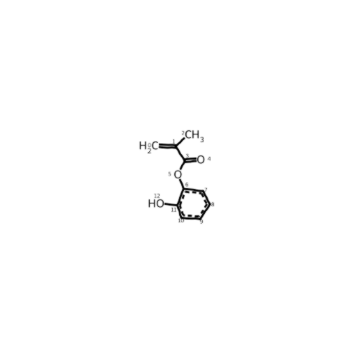 C=C(C)C(=O)Oc1ccccc1O